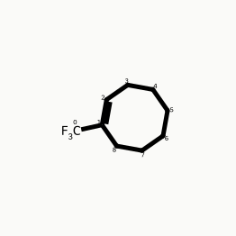 FC(F)(F)C1=CCCCCCC1